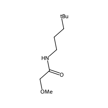 COCC(=O)NCCCC(C)(C)C